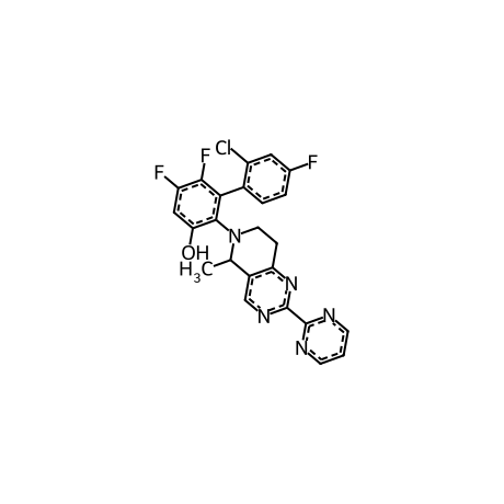 CC1c2cnc(-c3ncccn3)nc2CCN1c1c(O)cc(F)c(F)c1-c1ccc(F)cc1Cl